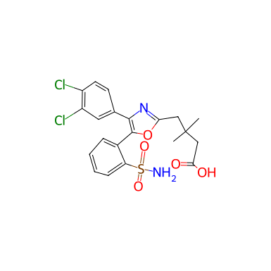 CC(C)(CC(=O)O)Cc1nc(-c2ccc(Cl)c(Cl)c2)c(-c2ccccc2S(N)(=O)=O)o1